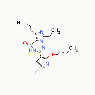 CCCCOc1ncc(I)cc1-c1nn2c(CC)nc(CCC)c2c(=O)[nH]1